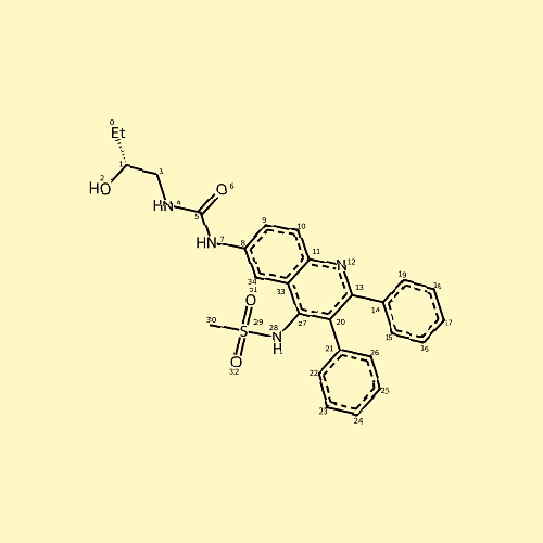 CC[C@@H](O)CNC(=O)Nc1ccc2nc(-c3ccccc3)c(-c3ccccc3)c(NS(C)(=O)=O)c2c1